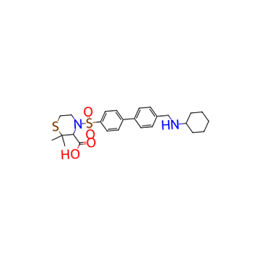 CC1(C)SCCN(S(=O)(=O)c2ccc(-c3ccc(CNC4CCCCC4)cc3)cc2)C1C(=O)O